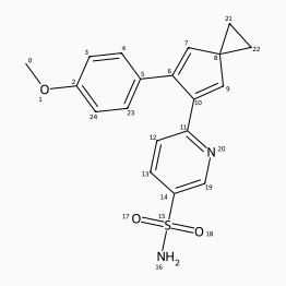 COc1ccc(C2=CC3(C=C2c2ccc(S(N)(=O)=O)cn2)CC3)cc1